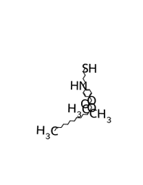 CCCCCCCCCCCC(C)(C)OC(=O)Oc1ccc(NCCCCS)cc1